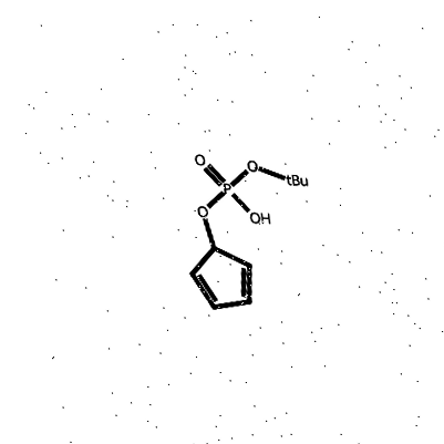 CC(C)(C)OP(=O)(O)OC1C=CC=C1